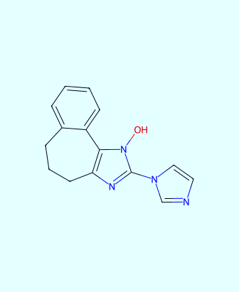 On1c(-n2ccnc2)nc2c1-c1ccccc1CCC2